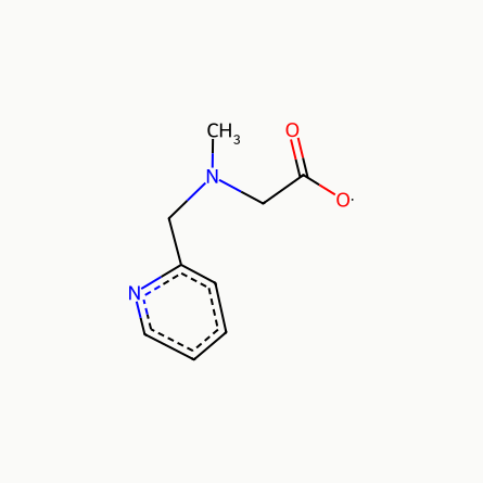 CN(CC([O])=O)Cc1ccccn1